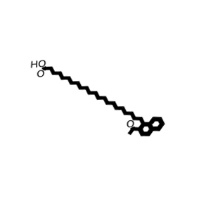 CC(=O)c1ccc2ccccc2c1CCCCCCCCCCCCCCCCCCCCCC(=O)O